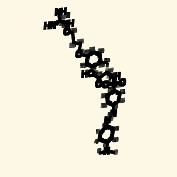 CN(C)c1ccc(N=Nc2ccc(S(=O)(=O)N[C@@H](Cc3ccc(OCCCONC(=N)N)cc3)C(=O)O)cc2)cc1